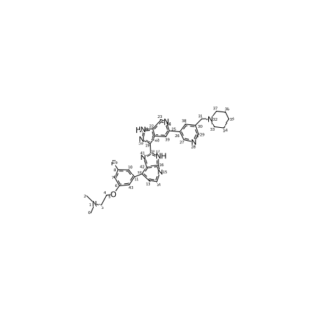 CN(C)CCOc1cc(F)cc(-c2ccnc3[nH]c(-c4n[nH]c5cnc(-c6cncc(CN7CCCCC7)c6)cc45)nc23)c1